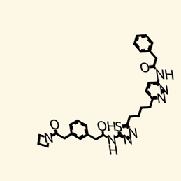 O=C(Cc1ccccc1)Nc1ccc(CCCCc2nnc(NC(O)Cc3cccc(CC(=O)N4CCC4)c3)s2)nn1